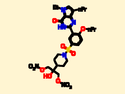 CCCOc1ccc(S(=O)(=O)N2CCC(C(O)(CO[N+](=O)[O-])CO[N+](=O)[O-])CC2)cc1-c1nc2c(CCC)cn(CC)c2c(=O)[nH]1